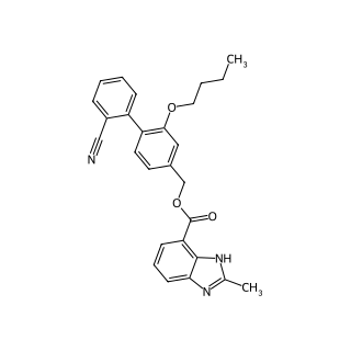 CCCCOc1cc(COC(=O)c2cccc3nc(C)[nH]c23)ccc1-c1ccccc1C#N